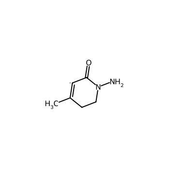 CC1=[C]C(=O)N(N)CC1